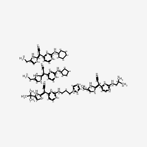 CC(C)(C)C1=CSC(=C(C#N)c2ccnc(NCCCn3cncn3)n2)N1.CCC1=CSC(=C(C#N)c2ccnc(NC3CCCC3)n2)N1.CCC1=CSC(=C(C#N)c2ccnc(NC3CCCCC3)n2)N1.CCC1=CSC(=C(C#N)c2ccnc(NCC(C)C)n2)N1